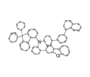 c1ccc(C2(c3ccccc3)c3ccccc3-c3c(N(c4ccc(-c5cccc(-c6cccc7ccccc67)c5)cc4)c4ccccc4-c4ccc5c(c4)oc4ccccc45)cccc32)cc1